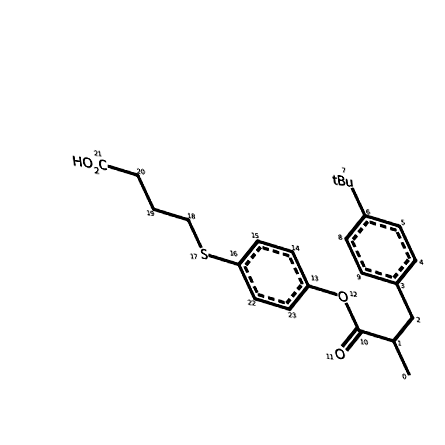 CC(Cc1ccc(C(C)(C)C)cc1)C(=O)Oc1ccc(SCCCC(=O)O)cc1